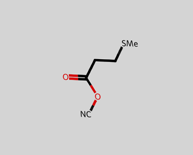 CSCCC(=O)OC#N